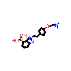 CN(C)CCOc1ccc(CCn2cc3c(B(O)O)cccc3n2)cc1